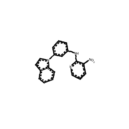 O=[N+]([O-])c1cccnc1Nc1cccc(-n2ccc3ccccc32)c1